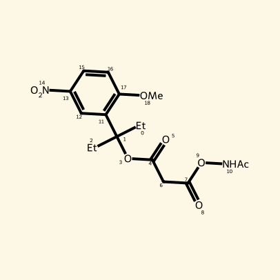 CCC(CC)(OC(=O)CC(=O)ONC(C)=O)c1cc([N+](=O)[O-])ccc1OC